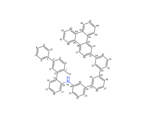 Cc1ccc(-c2ccccc2)cc1-c1ccccc1Nc1cccc(-c2cccc(-c3cccc(-c4ccc5c6ccccc6c6ccccc6c5c4)c3)c2)c1